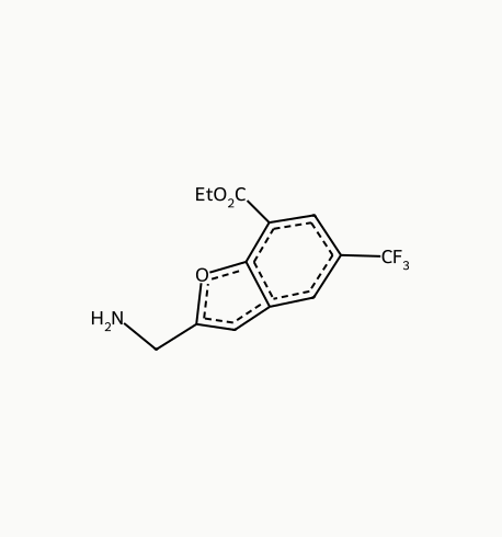 CCOC(=O)c1cc(C(F)(F)F)cc2cc(CN)oc12